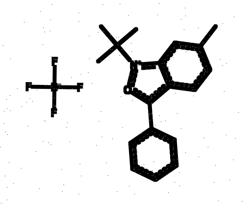 Cc1ccc2c(-c3ccccc3)o[n+](C(C)(C)C)c2c1.F[B-](F)(F)F